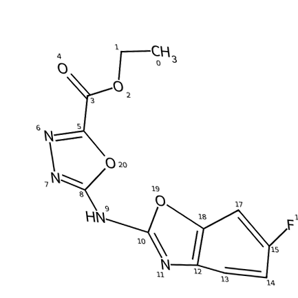 CCOC(=O)c1nnc(Nc2nc3ccc(F)cc3o2)o1